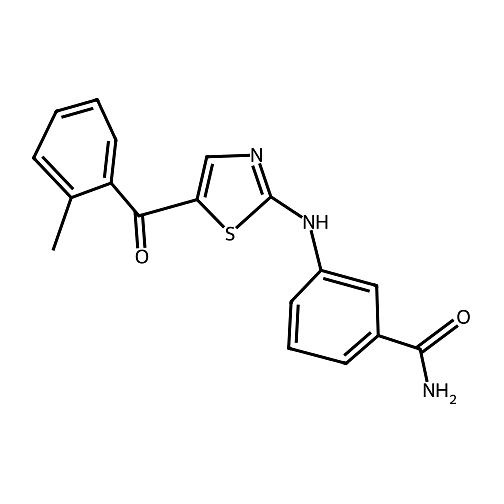 Cc1ccccc1C(=O)c1cnc(Nc2cccc(C(N)=O)c2)s1